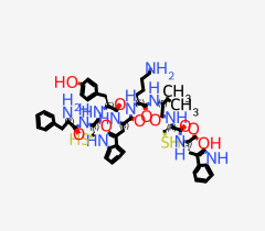 CC(C)[C@H](NC(=O)[C@H](CCCCN)NC(=O)[C@@H](Cc1c[nH]c2ccccc12)NC(=O)[C@H](Cc1ccc(O)cc1)NC(=O)[C@H](CS)NC(=O)[C@H](N)Cc1ccccc1)C(=O)N[C@@H](CS)C(=O)N[C@@H](Cc1c[nH]c2ccccc12)C(=O)O